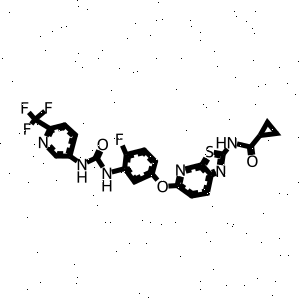 O=C(Nc1ccc(C(F)(F)F)nc1)Nc1cc(Oc2ccc3nc(NC(=O)C4CC4)sc3n2)ccc1F